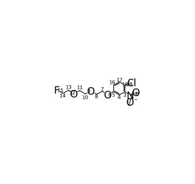 O=[N+]([O-])c1cc(OCCOCCOCCF)ccc1Cl